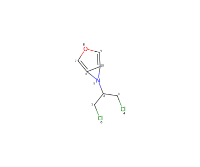 ClCC(CCl)N1c2cocc21